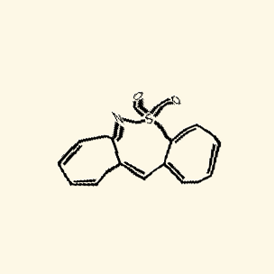 O=S1(=O)N=c2ccccc2=Cc2ccccc21